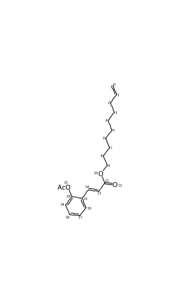 C=CCCCCCCCCOC(=O)C=Cc1ccccc1OC(C)=O